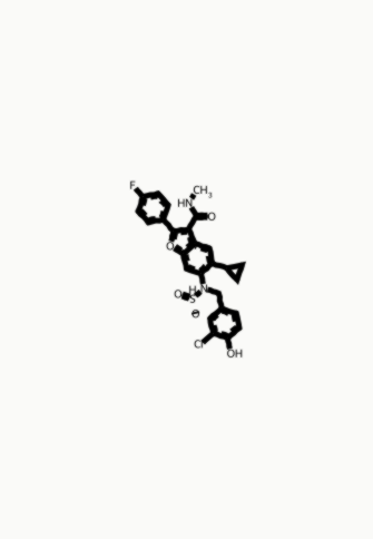 CNC(=O)c1c(-c2ccc(F)cc2)oc2cc(N(Cc3ccc(O)c(Cl)c3)[SH](=O)=O)c(C3CC3)cc12